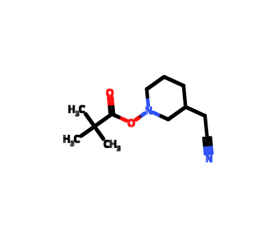 CC(C)(C)C(=O)ON1CCCC(CC#N)C1